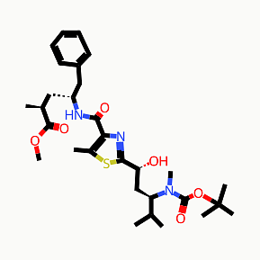 COC(=O)[C@@H](C)C[C@H](Cc1ccccc1)NC(=O)c1nc([C@H](O)C[C@H](C(C)C)N(C)C(=O)OC(C)(C)C)sc1C